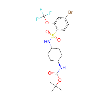 CC(C)(C)OC(=O)N[C@H]1CC[C@H](NS(=O)(=O)c2ccc(Br)cc2OC(F)(F)F)CC1